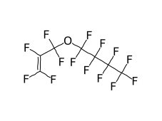 FC(F)=C(F)C(F)(F)OC(F)(F)C(F)(F)C(F)(F)C(F)(F)F